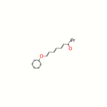 CC(C)C(=O)/C=C/C=C/C=C/Oc1ccccc1